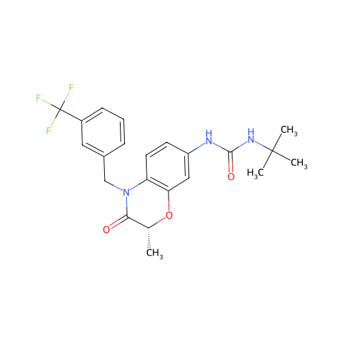 C[C@H]1Oc2cc(NC(=O)NC(C)(C)C)ccc2N(Cc2cccc(C(F)(F)F)c2)C1=O